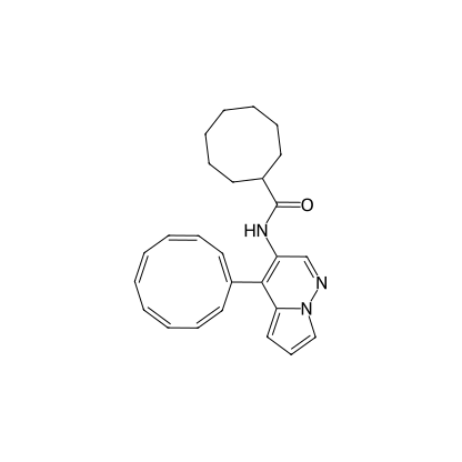 O=C(Nc1cnn2cccc2c1-c1ccccccccc1)C1CCCCCCC1